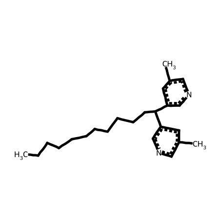 CCCCCCCCCCCC(c1cncc(C)c1)c1cncc(C)c1